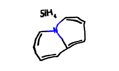 [SiH4].c1ccn2cccc2c1